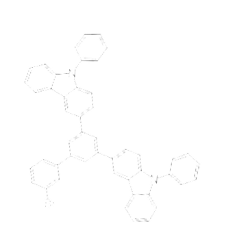 Brc1cccc(-c2cc(-c3ccc4c(c3)c3ccccc3n4-c3ccccc3)cc(-c3ccc4c(c3)c3ccccc3n4-c3ccccc3)c2)c1